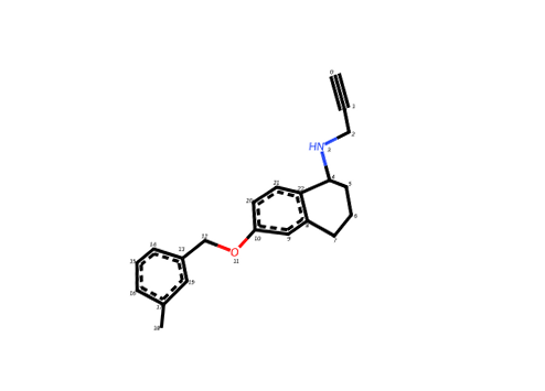 C#CCNC1CCCc2cc(OCc3cccc(C)c3)ccc21